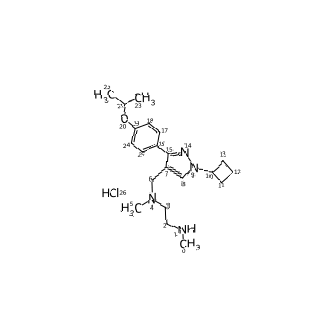 CNCCN(C)Cc1cn(C2CCC2)nc1-c1ccc(OC(C)C)cc1.Cl